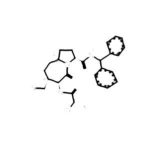 [C-]#[N+]C[C@H]1CC[C@H]2CC[C@@H](C(=O)NC(c3ccccc3)c3ccccc3)N2C(=O)[C@H]1NC(=O)[C@@H](N)CC